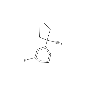 BC(CC)(CC)c1cccc(F)c1